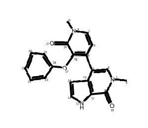 Cn1ccc(-c2cn(C)c(=O)c3[nH]ccc23)c(Oc2ccccc2)c1=O